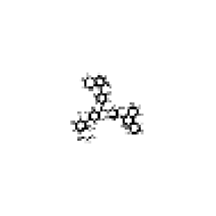 Cc1ccc2c(c1-c1ccc(N(c3ccc(-c4c(C)ccc5c4CCCC5)cc3)c3ccc(-c4cc5ccccc5c5ccccc45)cc3)cc1)CCCC2